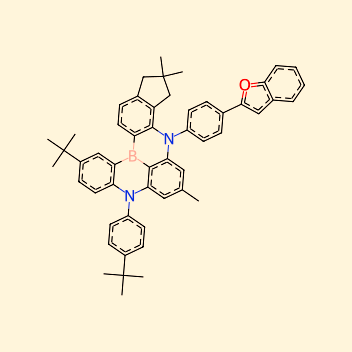 Cc1cc2c3c(c1)N(c1ccc(-c4cc5ccccc5o4)cc1)c1c(ccc4c1CC(C)(C)C4)B3c1cc(C(C)(C)C)ccc1N2c1ccc(C(C)(C)C)cc1